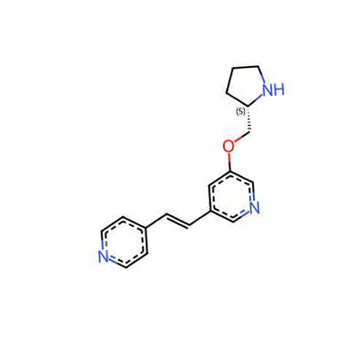 C(=Cc1cncc(OC[C@@H]2CCCN2)c1)c1ccncc1